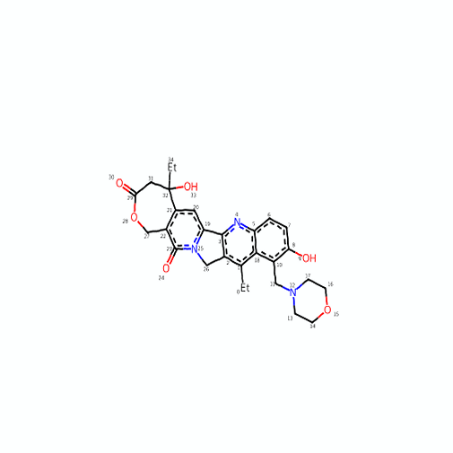 CCc1c2c(nc3ccc(O)c(CN4CCOCC4)c13)-c1cc3c(c(=O)n1C2)COC(=O)CC3(O)CC